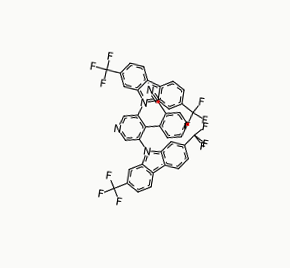 N#Cc1ccccc1-c1c(-n2c3cc(C(F)(F)F)ccc3c3ccc(C(F)(F)F)cc32)cncc1-n1c2cc(C(F)(F)F)ccc2c2ccc(C(F)(F)F)cc21